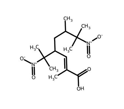 C/C(=C\C(CC(C)C(C)(C)[N+](=O)[O-])C(C)(C)[N+](=O)[O-])C(=O)O